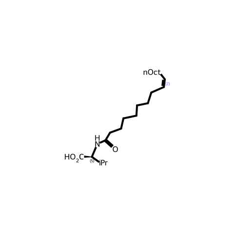 CCCCCCCC/C=C\CCCCCCCC(=O)N[C@H](C(=O)O)C(C)C